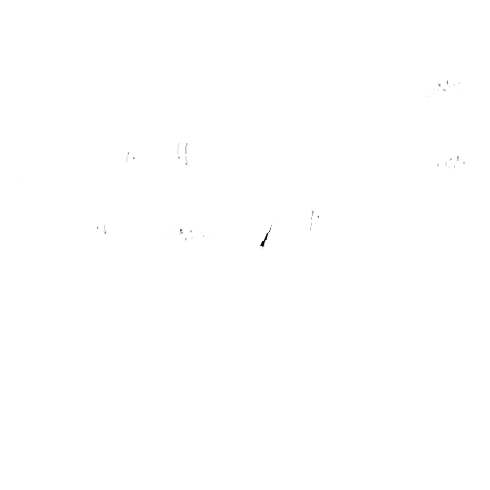 COc1cc2c(cc1OC)N[C@@H](c1ccccc1)C(C(=O)Nc1nc3ccccc3nc1OC)CC2